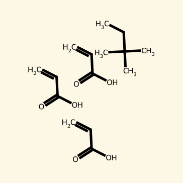 C=CC(=O)O.C=CC(=O)O.C=CC(=O)O.CCC(C)(C)C